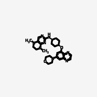 CN1CCN(C)c2nc(N[C@H]3CC[C@@H](Oc4cc(N5CCOCC5)cc5nccnc45)CC3)ncc21